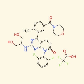 Cc1ccc(C(=O)N2CCOCC2)cc1-c1nc(NC(CO)CO)nc2c1ccc(=O)n2-c1c(F)cccc1F.O=C(O)C(F)(F)F